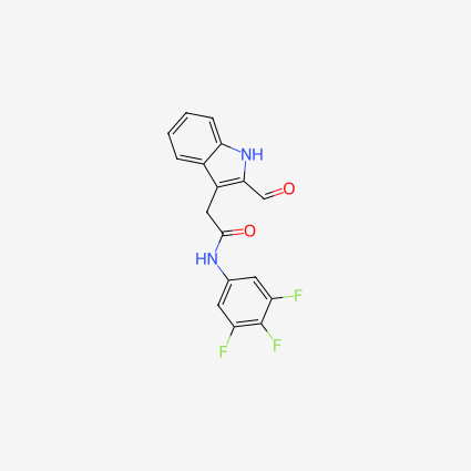 O=Cc1[nH]c2ccccc2c1CC(=O)Nc1cc(F)c(F)c(F)c1